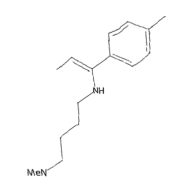 CC=C(NCCCCNC)c1ccc(C)cc1